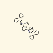 C/C(=N\c1cc2ccccc2c2ccccc12)c1cccc(/C(C)=N/c2cc3ccccc3c3ccccc23)n1